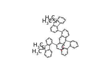 C[Si]1(C)c2ccccc2-c2c(-c3cccc4c(-c5ccccc5-c5ccccc5)c5cccc(-c6cccc7c6-c6ccccc6[Si]7(C)C)c5cc34)cccc21